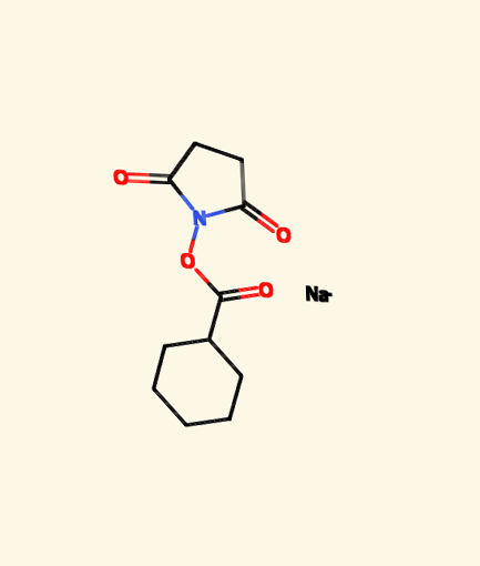 O=C(ON1C(=O)CCC1=O)C1CCCCC1.[Na]